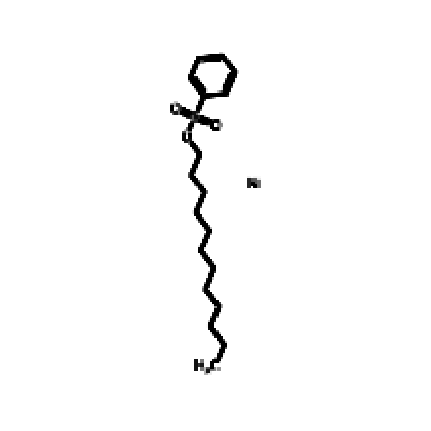 CCCCCCCCCCCCOS(=O)(=O)c1ccccc1.[Ni]